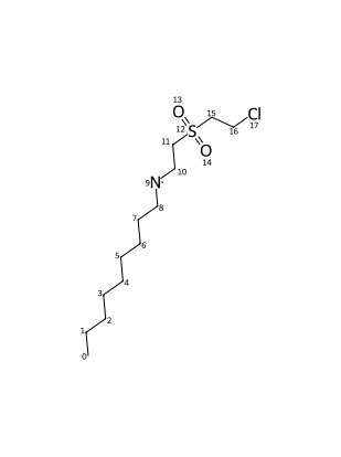 CCCCCCCCC[N]CCS(=O)(=O)CCCl